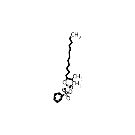 CCCCCCCCCCCCC([O][Ti](=[O])[O]S(=O)(=O)c1ccccc1)C(C)C